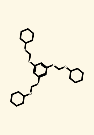 c1c(OCOC2CCCCC2)cc(OCOC2CCCCC2)cc1OCOC1CCCCC1